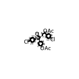 CC(=O)Oc1ccc([C@@H]2[C@@H](CC[C@@H](OC(C)=O)c3ccc(Cl)cc3)C(=O)N2c2ccc(Cl)cc2)cc1